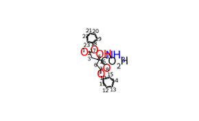 N.O=C(CC(O)(CC(=O)Oc1ccccc1)C(=O)O)Oc1ccccc1